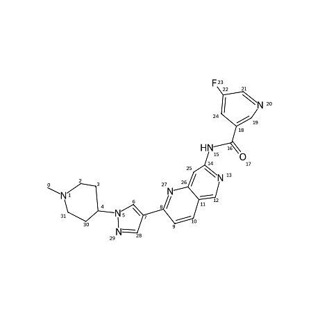 CN1CCC(n2cc(-c3ccc4cnc(NC(=O)c5cncc(F)c5)cc4n3)cn2)CC1